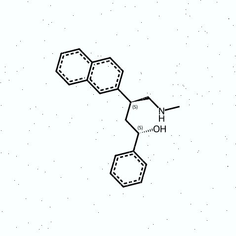 CNC[C@@H](C[C@H](O)c1ccccc1)c1ccc2ccccc2c1